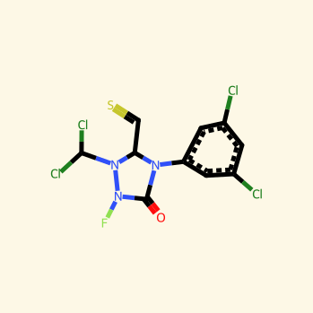 O=C1N(c2cc(Cl)cc(Cl)c2)C(C=S)N(C(Cl)Cl)N1F